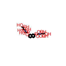 O=C(Oc1ccc2ccc(OC(=O)/C(O)=C(\O)C(O)C(O)CO)cc2c1)/C(O)=C(\O)C(O)C(O)CO